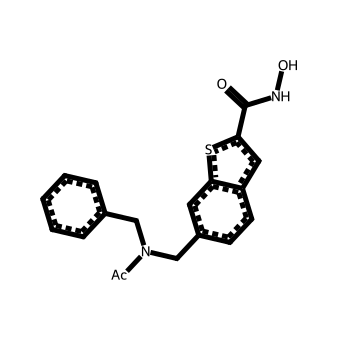 CC(=O)N(Cc1ccccc1)Cc1ccc2cc(C(=O)NO)sc2c1